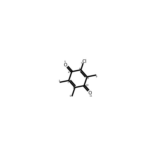 CC1=C(C)C(=O)C(Cl)=C(C)C1=O